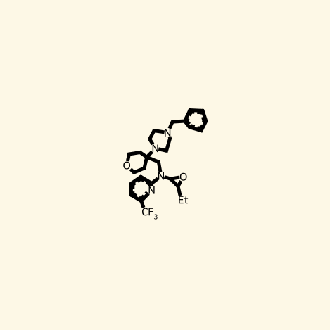 CCC1OC1N(CC1(N2CCN(Cc3ccccc3)CC2)CCOCC1)c1cccc(C(F)(F)F)n1